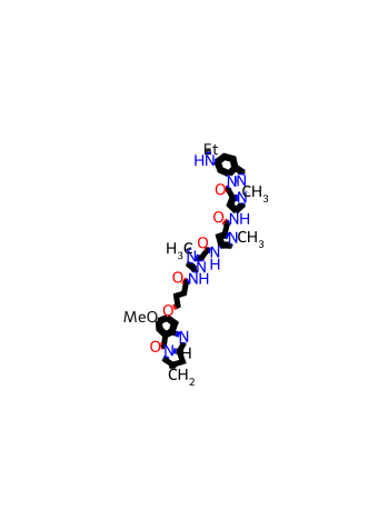 C=C1C[C@H]2C=Nc3cc(OCCCC(=O)Nc4cn(C)c(C(=O)Nc5cc(C(=O)Nc6cc(C(=O)n7ncc8ccc(NCC)cc87)n(C)c6)n(C)c5)n4)c(OC)cc3C(=O)N2C1